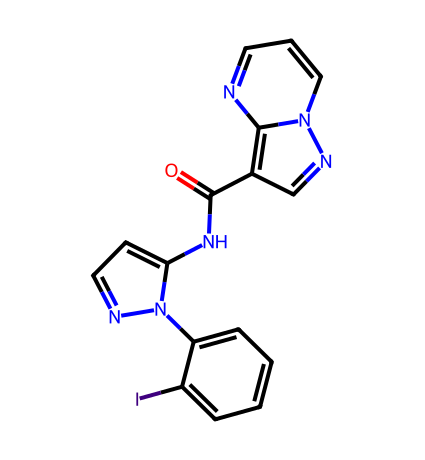 O=C(Nc1ccnn1-c1ccccc1I)c1cnn2cccnc12